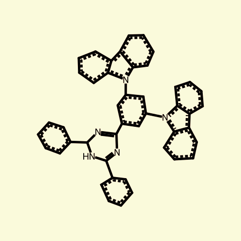 c1ccc(C2=NC(c3cc(-n4c5ccccc5c5ccccc54)cc(-n4c5ccccc5c5ccccc54)c3)=NC(c3ccccc3)N2)cc1